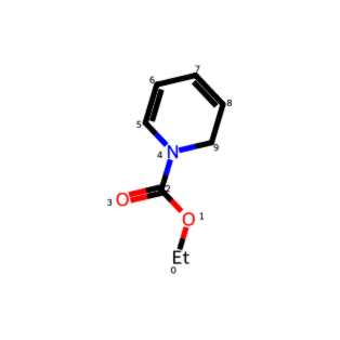 CCOC(=O)N1C=CC=CC1